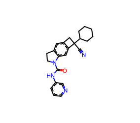 N#CC1(C2CCCCC2)Cc2cc3c(cc21)N(C(=O)Nc1cccnc1)CC3